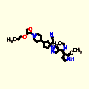 C=C=c1[nH]cc/c1=C(/N=C\C)c1cnn(C2(CC#N)CCC(C3CCN(C4OCC4OCCC)CC3)C2)c1